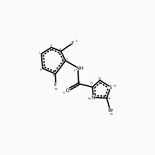 O=C(Nc1c(F)cccc1F)c1csc(Br)n1